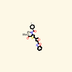 COC(=O)c1sc(-c2coc(-c3nc4ccccc4o3)c2)cc1N(C(=O)[C@H]1CC[C@H](C)CC1)C(C)C